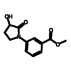 COC(=O)c1cccc(N2CCC(O)C2=O)c1